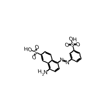 Nc1ccc(N=Nc2cccc(S(=O)(=O)O)c2)c2ccc(S(=O)(=O)O)cc12